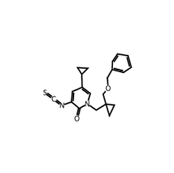 O=c1c(N=C=S)cc(C2CC2)cn1CC1(COCc2ccccc2)CC1